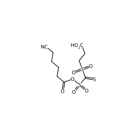 N#CCCCCC(=O)OS(=O)(=O)C(=S)S(=O)(=O)CCC(=O)O